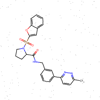 O=C(NCc1cccc(-c2ccc(C(F)(F)F)nn2)c1)C1CCCN1S(=O)(=O)c1cc2ccccc2o1